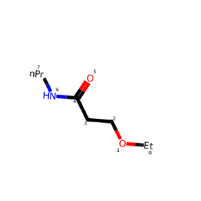 [CH2]COCCC(=O)NCCC